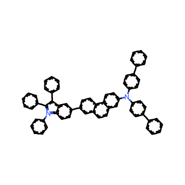 c1ccc(-c2ccc(N(c3ccc(-c4ccccc4)cc3)c3ccc4c(ccc5cc(-c6ccc7c(c6)c(-c6ccccc6)c(-c6ccccc6)n7-c6ccccc6)ccc54)c3)cc2)cc1